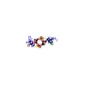 Nc1nc2c(ncn2[C@@H]2O[C@@H]3CO[P@@](=O)(S)OC4C5C(O[C@@H]4CO[P@@](=O)(S)OC2C3O)[C@H]5n2cnc3c(N)nc(Cl)nc32)c(=O)[nH]1